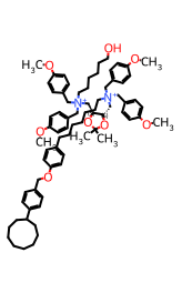 COc1ccc(C[N+](CCCCCCO)(Cc2ccc(OC)cc2)C[C@@H]2OC(C)(C)O[C@H]2C[N+](CCCCCCCc2ccc(OCc3ccc(C4CCCCCCCC4)cc3)cc2)(Cc2ccc(OC)cc2)Cc2ccc(OC)cc2)cc1